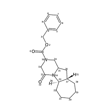 O=C(OCc1ccccc1)N1CC(=O)N2C(C[C@@H]3CCCCC[C@H]32)C1